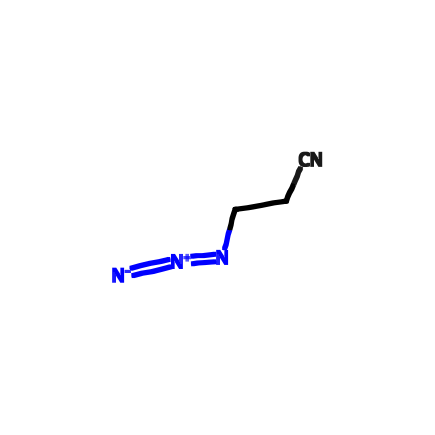 N#CCCN=[N+]=[N-]